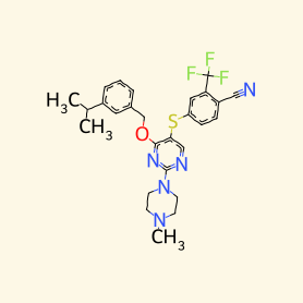 CC(C)c1cccc(COc2nc(N3CCN(C)CC3)ncc2Sc2ccc(C#N)c(C(F)(F)F)c2)c1